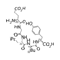 CC[C@H](C)[C@H](NC(=O)[C@H](CC(C)C)NC(=O)CNC(=O)[C@@H](N)CCC(=O)O)C(=O)N[C@@H](Cc1ccc(O)cc1)C(=O)O